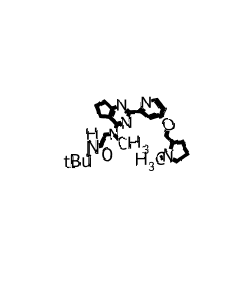 CN(CC(=O)NC(C)(C)C)c1nc(-c2cc(OCC3CCCN3C)ccn2)nc2c1CCC2